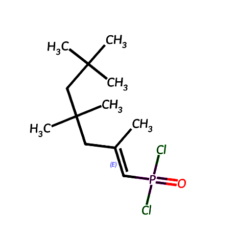 C/C(=C\P(=O)(Cl)Cl)CC(C)(C)CC(C)(C)C